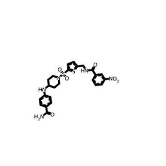 NC(=O)c1ccc(NC2CCN(S(=O)(=O)c3ccc(CNC(=O)c4cccc([N+](=O)[O-])c4)s3)CC2)cc1